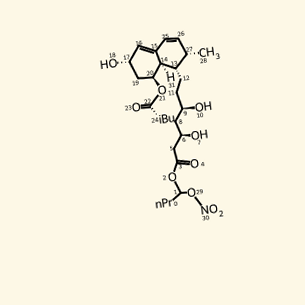 CCCC(OC(=O)C[C@H](O)C[C@H](O)CC[C@@H]1[C@@H]2C(=C[C@@H](O)C[C@@H]2OC(=O)[C@@H](C)CC)C=C[C@@H]1C)O[N+](=O)[O-]